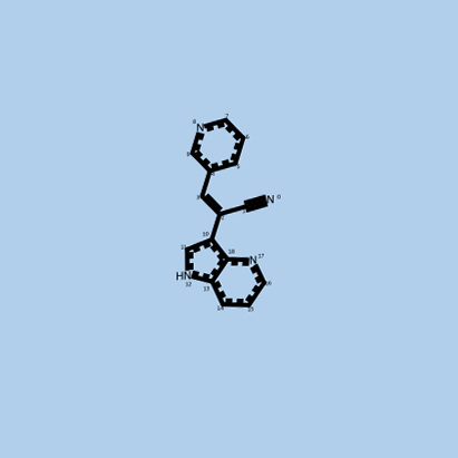 N#CC(=Cc1cccnc1)c1c[nH]c2cccnc12